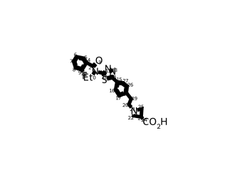 CCN(C(=O)c1ccccc1F)c1nnc(-c2ccc(CCN3CC(C(=O)O)C3)cc2)s1